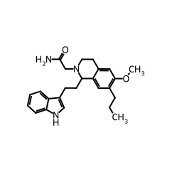 CCCc1cc2c(cc1OC)CCN(CC(N)=O)C2CCc1c[nH]c2ccccc12